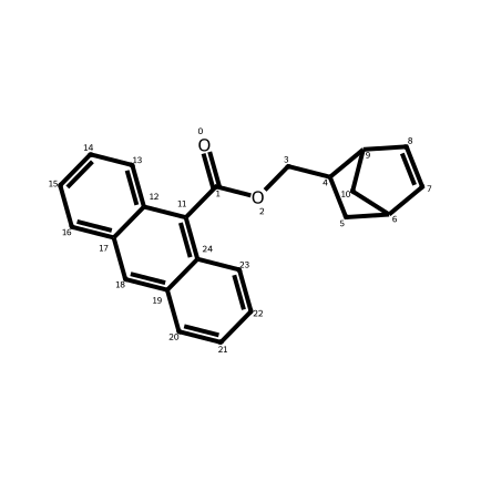 O=C(OCC1CC2C=CC1C2)c1c2ccccc2cc2ccccc12